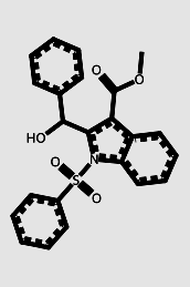 COC(=O)c1c(C(O)c2ccccc2)n(S(=O)(=O)c2ccccc2)c2ccccc12